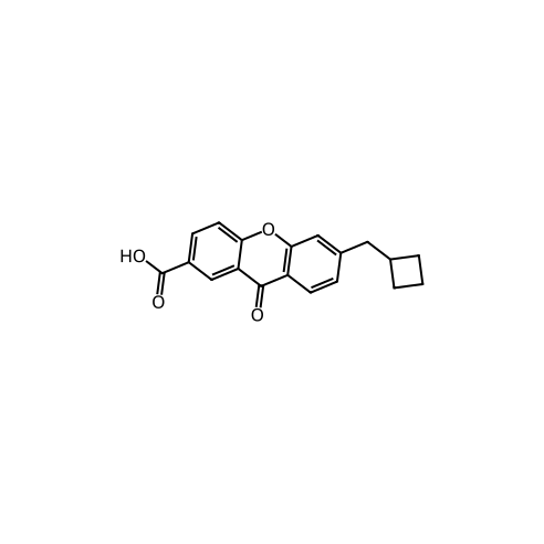 O=C(O)c1ccc2oc3cc(CC4CCC4)ccc3c(=O)c2c1